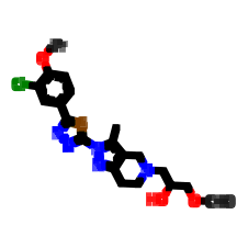 Cc1c2c(nn1-c1nnc(-c3ccc(OC(C)C)c(Cl)c3)s1)CCN(C[C@H](O)COC=O)C2